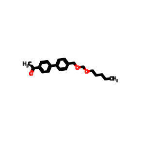 CCCCCOCOCc1ccc(-c2ccc(C(C)=O)cc2)cc1